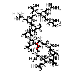 CC[C@H](C)[C@H](NC(=O)[C@H](CCCNC(=N)N)NC(=O)[C@H](CCC(=O)O)NC(=O)[C@H](CCCNC(=N)N)NC(=O)CNC(=O)[C@@H](N)CO)C(=O)N[C@@H](CC(C)C)C(=O)N[C@@H](CCC(=O)O)C(=O)N[C@@H](CCCNC(=N)N)C(=O)N[C@@H](CC(C)C)C(=O)N[C@@H](CO)C(=O)N[C@@H](C)C(=O)N[C@H](C(=O)N[C@@H](CCC(=O)O)C(=O)O)C(C)C